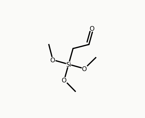 CO[Si](CC=O)(OC)OC